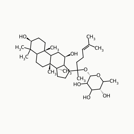 CC(C)=CCCC(C)(O[C@@H]1OC(C)[C@H](O)C(O)C1O)C1CC[C@]2(C)C1[C@H](O)CC1[C@@]3(C)CC[C@H](O)C(C)(C)C3CC[C@]12C